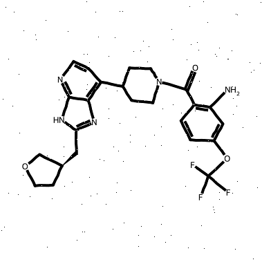 Nc1cc(OC(F)(F)F)ccc1C(=O)N1CCC(c2ccnc3[nH]c(C[C@H]4CCOC4)nc23)CC1